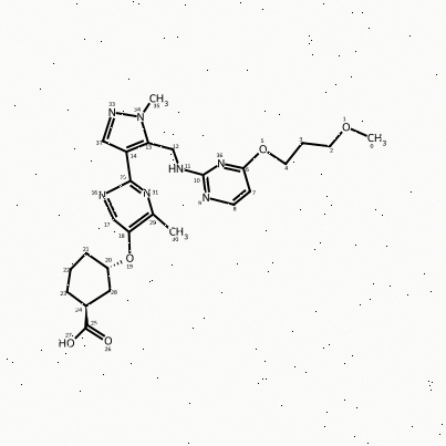 COCCCOc1ccnc(NCc2c(-c3ncc(O[C@H]4CCC[C@H](C(=O)O)C4)c(C)n3)cnn2C)n1